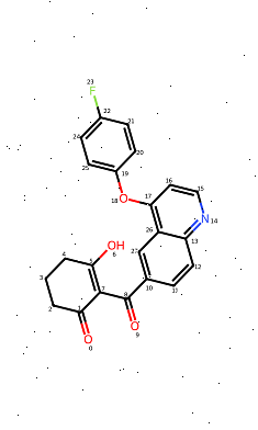 O=C1CCCC(O)=C1C(=O)c1ccc2nccc(Oc3ccc(F)cc3)c2c1